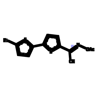 CCc1ccc(-c2ccc(/C(C#N)=N/OC(C)=O)s2)s1